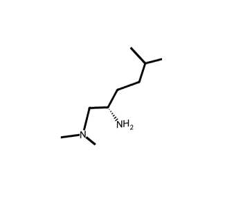 CC(C)CC[C@H](N)CN(C)C